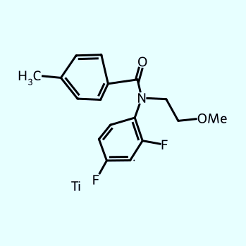 COCCN(C(=O)c1ccc(C)cc1)c1ccc(F)[c]c1F.[Ti]